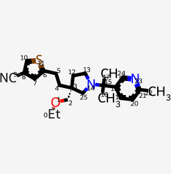 CCOC[C@]1(CCc2cc(C#N)cs2)CCN(C(C)(C)c2ccc(C)nc2)C1